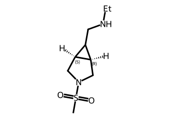 CCNCC1[C@H]2CN(S(C)(=O)=O)C[C@@H]12